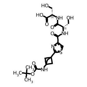 CC(C)(C)OC(=O)NC12CC(c3nc(C(=O)N[C@@H](CO)C(=O)N[C@@H](CO)C(=O)O)cs3)(C1)C2